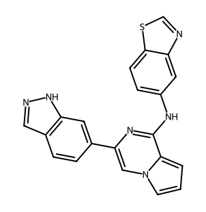 c1cc2c(Nc3ccc4scnc4c3)nc(-c3ccc4cn[nH]c4c3)cn2c1